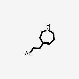 CC(=O)CCC1=CCCNCC1